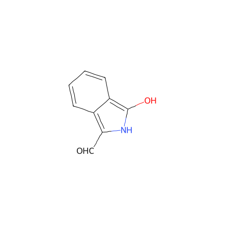 O=Cc1[nH]c(O)c2ccccc12